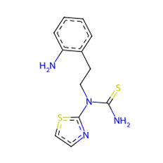 NC(=S)N(CCc1ccccc1N)c1nccs1